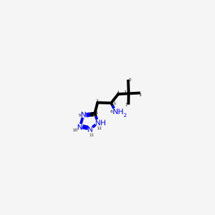 CC(C)(C)CC(N)Cc1nnn[nH]1